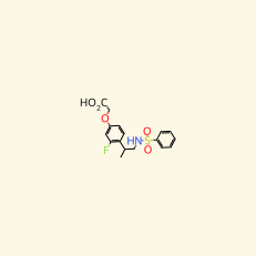 CC(CNS(=O)(=O)c1ccccc1)c1ccc(OCC(=O)O)cc1F